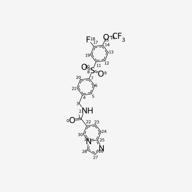 O=C(NCc1ccc(S(=O)(=O)c2ccc(OC(F)(F)F)c(F)c2)cc1)c1ccc2nccn2c1